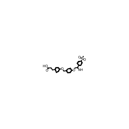 CS(=O)(=O)c1ccc(C(=N)COc2ccc(COc3ccc(CCC(=O)O)cc3)cc2)cc1